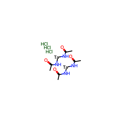 CC(=O)[NH][Ta][NH]C(C)=O.CC(=O)[NH][Ta][NH]C(C)=O.Cl.Cl.Cl